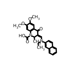 CCN(C=C1C(=O)c2cc(OC)c(OC)cc2N(C(=O)O)C1C)c1ccc2ccccc2c1